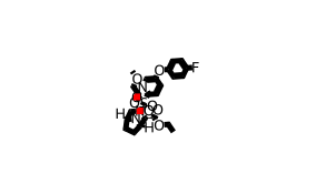 CCOC(=O)[C@@H]1[C@@H]2CC[C@H](CN1S(=O)(=O)c1ccc(Oc3ccc(F)cc3)cn1)N2C(=O)OCCOC